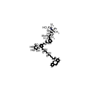 CN[C@H](C(=O)N[C@H](C(=O)N(C)[C@H](/C=C(\C)C(=O)O)C(C)C)C(C)(C)C)C(C)(C)c1cccc(NC(=O)OCc2ccc(O[C@@H]3O[C@H](C(=O)O)[C@@H](O)[C@H](O)[C@H]3O)c(CNC(=O)CCNC(=O)CCCCC(=O)N3Cc4ccccc4C#Cc4ccccc43)c2)c1